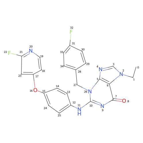 CCn1cnc2c1c(=O)nc(Nc1ccc(Oc3ccnc(F)c3)cc1)n2Cc1ccc(F)cc1